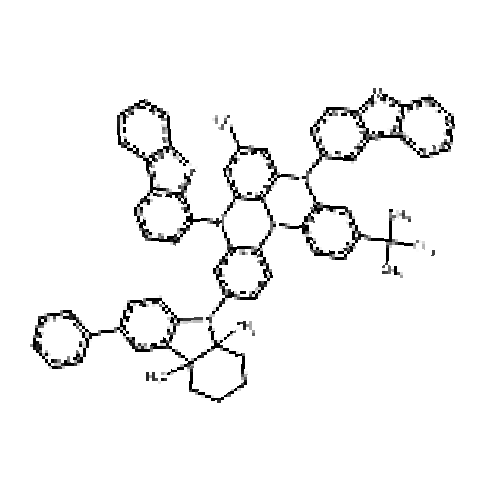 Cc1cc2c3c(c1)N(c1cccc4c1oc1ccccc14)c1cc(N4c5ccc(-c6ccccc6)cc5C5(C)CCCCC45C)ccc1B3c1ccc(C(C)(C)C)cc1N2c1ccc2oc3ccccc3c2c1